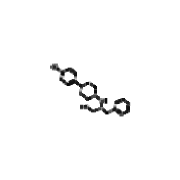 OCC(Cc1ccccc1)NC1CCC(c2ccc(O)cc2)CC1